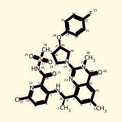 Cc1cc([C@@H](C)Nc2ccc(Cl)nc2C(=O)NS(C)(=O)=O)c2nc(N3CC[C@@H](Oc4ccc(F)cc4)C3)n(C)c(=O)c2c1